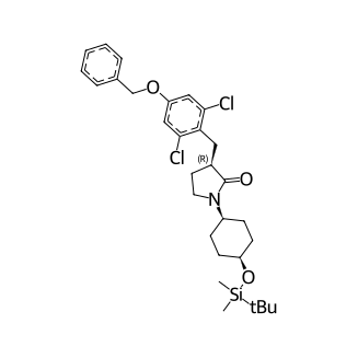 CC(C)(C)[Si](C)(C)O[C@H]1CC[C@@H](N2CC[C@@H](Cc3c(Cl)cc(OCc4ccccc4)cc3Cl)C2=O)CC1